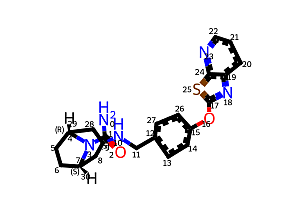 NC(=O)N1[C@@H]2CC[C@H]1C[C@H](NCc1ccc(Oc3nc4cccnc4s3)cc1)C2